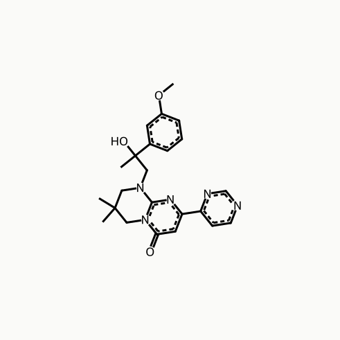 COc1cccc(C(C)(O)CN2CC(C)(C)Cn3c2nc(-c2ccncn2)cc3=O)c1